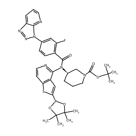 CC(C)(C)OC(=O)N1CCC[C@@H](N(C(=O)c2ccc(-n3nnc4cccnc43)cc2F)c2nccc3sc(B4OC(C)(C)C(C)(C)O4)cc23)C1